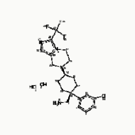 Cl.Cl.NC[C@]1(c2cccc(Cl)c2)CC[C@H](N2CCn3c(nnc3C(F)(F)F)C2)CC1